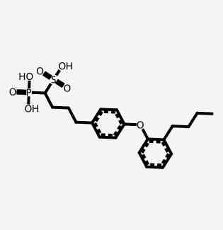 CCCCc1ccccc1Oc1ccc(CCCC(P(=O)(O)O)S(=O)(=O)O)cc1